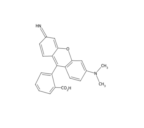 CN(C)c1ccc2c(-c3ccccc3C(=O)O)c3ccc(=N)cc-3oc2c1